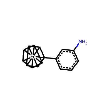 Nc1cccc([C]23[CH]4[CH]5[CH]6[CH]2[Fe]56432789[CH]3[CH]2[CH]7[CH]8[CH]39)c1